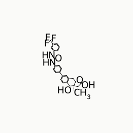 CC[C@@]1(CC(=O)O)CCc2cc(-c3ccc(NC(=O)Nc4cccc(C(F)(F)F)c4)cc3)ccc2[C@@H]1O